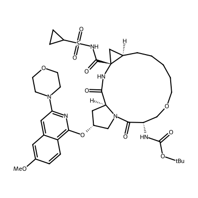 COc1ccc2c(O[C@@H]3C[C@H]4C(=O)N[C@]5(C(=O)NS(=O)(=O)C6CC6)C[C@H]5CCCCCOC[C@H](NC(=O)OC(C)(C)C)C(=O)N4C3)nc(N3CCOCC3)cc2c1